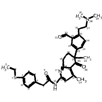 CCSc1ccc(CC(=O)Nc2cc(C)c3c(n2)CCC(C)(c2ccc(CCN(C)C)c(C=O)c2)C3=O)cc1